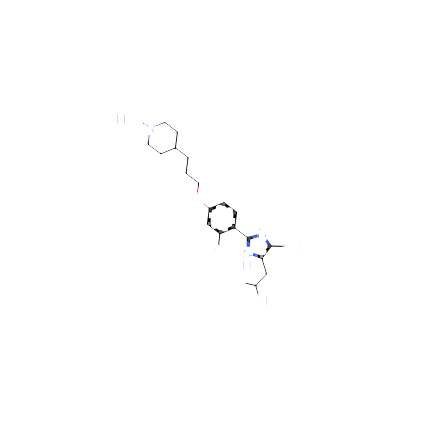 Cc1cc(OCCCC2CCN(C)CC2)ccc1-c1nc(C)c(CC(C)C)[nH]1